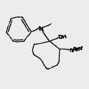 CCCCCC1CCCCC1(O)N(C)c1ccccc1